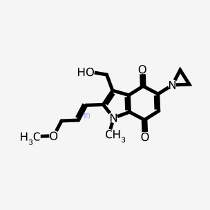 COC/C=C/c1c(CO)c2c(n1C)C(=O)C=C(N1CC1)C2=O